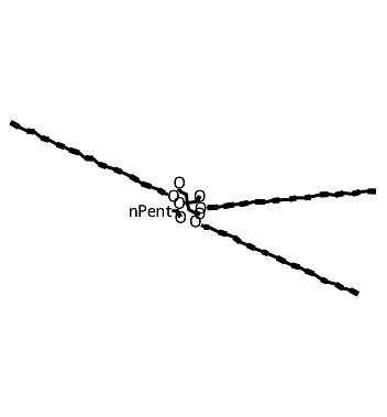 C#CC#CC#CC#CC#CC#CC#CC#CC#CC#CC#COC(=O)CC(CC(=O)OC#CC#CC#CC#CC#CC#CC#CC#CC#CC#CC#C)(OC(=O)CCCCC)C(=O)OC#CC#CC#CC#CC#CC#CC#CC#CC#CC#CC#C